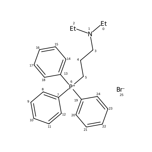 CCN(CC)CCC[P+](c1ccccc1)(c1ccccc1)c1ccccc1.[Br-]